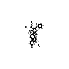 CC(C)N(C(=O)C1CC[C@H]2[C@@H]3CCC4N(C)C(=O)C=C[C@]4(C)[C@@H]3CC[C@]12C)C(=S)Nc1ccccc1